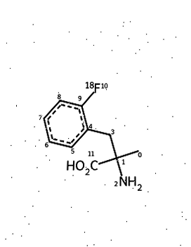 CC(N)(Cc1ccccc1[18F])C(=O)O